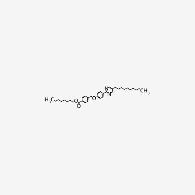 CCCCCCCCCCc1cnc(-c2ccc(OCc3ccc(C(=O)OCCCCCCCC)cc3)cc2)nc1